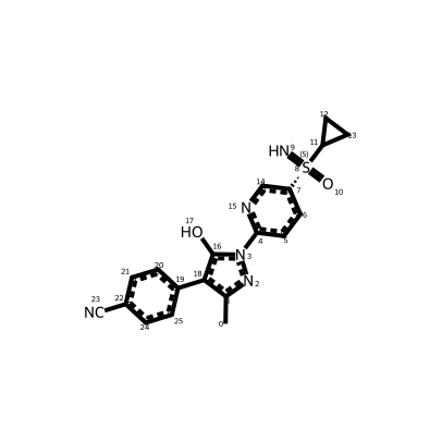 Cc1nn(-c2ccc([S@@](=N)(=O)C3CC3)cn2)c(O)c1-c1ccc(C#N)cc1